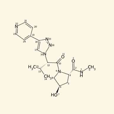 CNC(=O)[C@@H]1C[C@@H](O)CN1C(=O)[C@H](C(C)C)n1cc(-c2ccncc2)nn1